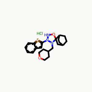 Cl.c1ccc2sc(N3NOC4(CC5CCC4CC5)N3CC3CCOCC3)cc2c1